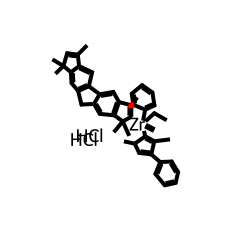 Cl.Cl.[CH2]=[Zr]([CH2]C)([C]1=C(C)C(c2ccccc2)=CC1C)([C]1=C(C)c2cc3c(cc2C1(C)C)Cc1cc2c(cc1-3)C(C)=CC2(C)C)[c]1ccccc1